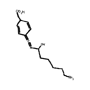 NCCCCCC(O)N=C=C1C=CC(C(=O)O)C=C1